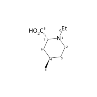 CCN1CC[C@@H](C)C[C@@H]1C(=O)O